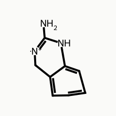 NC1=[N+]Cc2ccccc2N1